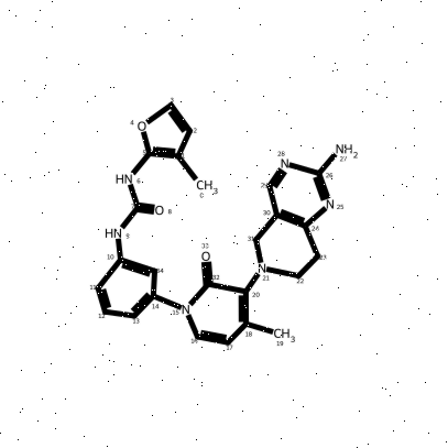 Cc1ccoc1NC(=O)Nc1cccc(-n2ccc(C)c(N3CCc4nc(N)ncc4C3)c2=O)c1